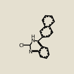 ClC1N=c2ccccc2=C(c2ccc3ccccc3c2)N1